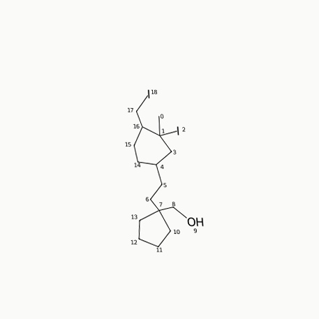 CC1(I)CC(CCC2(CO)CCCC2)CCC1CI